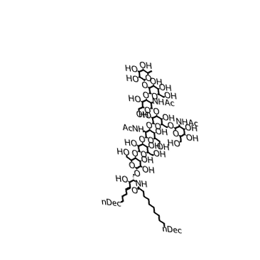 CCCCCCCCCCCCC/C=C/[C@@H](O)[C@H](CO[C@@H]1OC(CO)[C@@H](O[C@@H]2OC(CO)[C@H](O)[C@H](O[C@@H]3OC(CO)[C@@H](O)[C@H](O[C@@H]4OC(CO[C@@H]5OC(CO)[C@@H](O)[C@H](O)C5NC(C)=O)[C@H](O)[C@H](O[C@@H]5OC(CO)[C@@H](O)[C@H](O[C@@H]6OC(CO)[C@H](O)[C@H](O)C6O[C@H]6OC(C)[C@@H](O)C(O)[C@@H]6O)C5NC(C)=O)C4O)C3NC(C)=O)C2O)[C@H](O)C1O)NC(=O)CCCCCCCCCCCCCCCCCCC